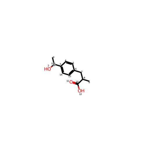 CB(O)c1ccc(CC(C)C(=O)O)cc1